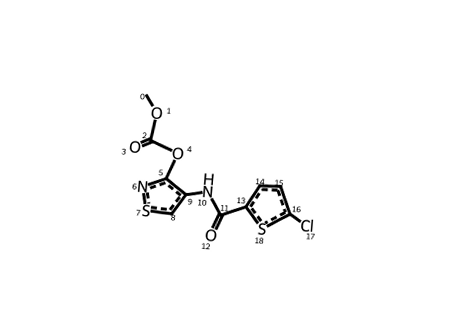 COC(=O)Oc1nscc1NC(=O)c1ccc(Cl)s1